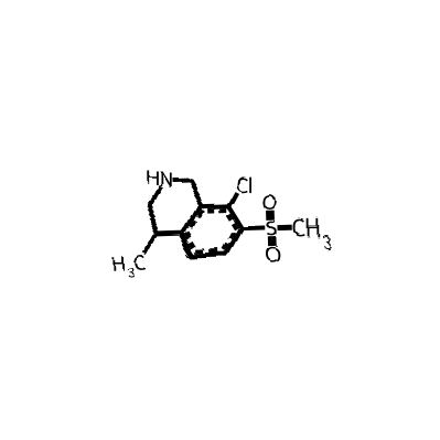 CC1CNCc2c1ccc(S(C)(=O)=O)c2Cl